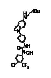 CC(C)(C)CCNc1ccc2c(ccn2-c2ccc(NC(=O)N(O)c3ccc(Cl)c(C(F)(F)F)c3)cc2)c1